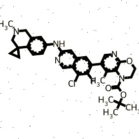 Cc1c(-c2cc3cc(Nc4ccc5c(c4)CN(C)CC54CC4)ncc3c(Cl)c2F)cnc2c1N(C(=O)OC(C)(C)C)CCO2